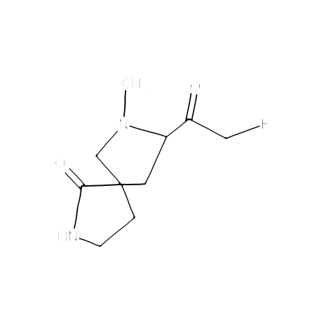 CN1CC2(CCNC2=O)CC1C(=O)CF